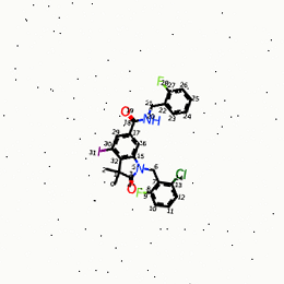 CC1(C)C(=O)N(Cc2c(F)cccc2Cl)c2cc(C(=O)NCc3ccccc3F)cc(I)c21